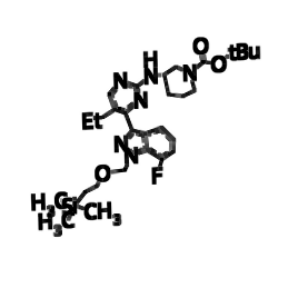 CCc1cnc(N[C@H]2CCCN(C(=O)OC(C)(C)C)C2)nc1-c1nn(COCC[Si](C)(C)C)c2c(F)cccc12